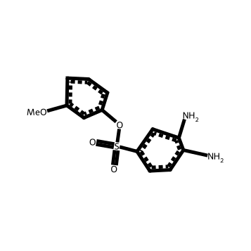 COc1cccc(OS(=O)(=O)c2ccc(N)c(N)c2)c1